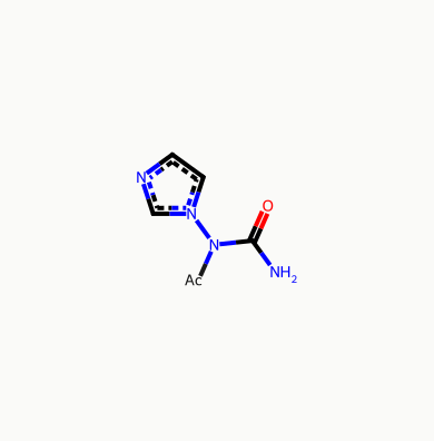 CC(=O)N(C(N)=O)n1ccnc1